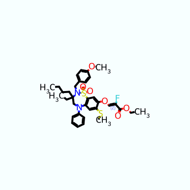 CCCCC1(CC)CN(c2ccccc2)c2cc(SC)c(O/C=C(\F)C(=O)OCC)cc2S(=O)(=O)N1Cc1ccc(OC)cc1